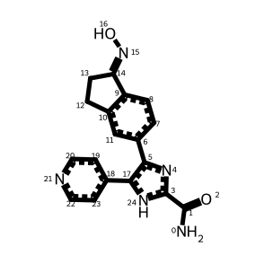 NC(=O)c1nc(-c2ccc3c(c2)CCC3=NO)c(-c2ccncc2)[nH]1